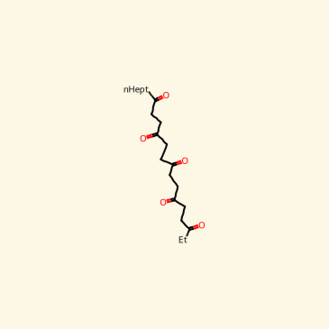 [CH2]CCCCCCC(=O)CCC(=O)CCC(=O)CCC(=O)CCC(=O)C[CH2]